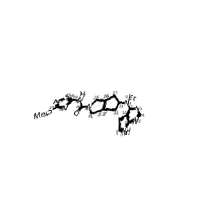 CCN(c1ncnc2[nH]ccc12)C1CC2CN(C(=O)Nc3nc(OC)ns3)CC2C1